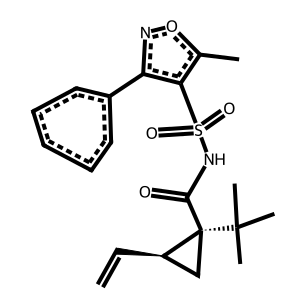 C=C[C@@H]1C[C@@]1(C(=O)NS(=O)(=O)c1c(-c2ccccc2)noc1C)C(C)(C)C